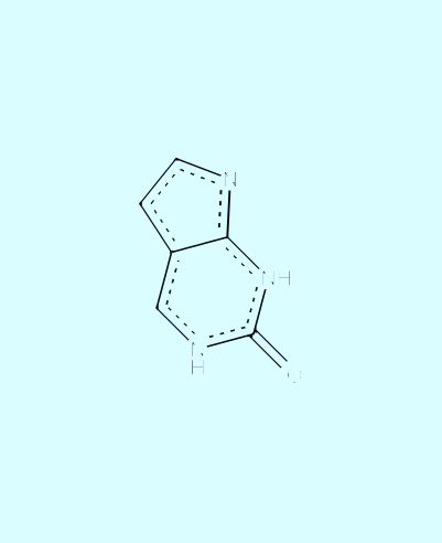 O=c1[nH]cc2ccnc-2[nH]1